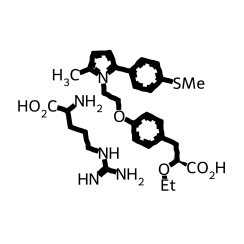 CCO[C@@H](Cc1ccc(OCCn2c(C)ccc2-c2ccc(SC)cc2)cc1)C(=O)O.N=C(N)NCCCC(N)C(=O)O